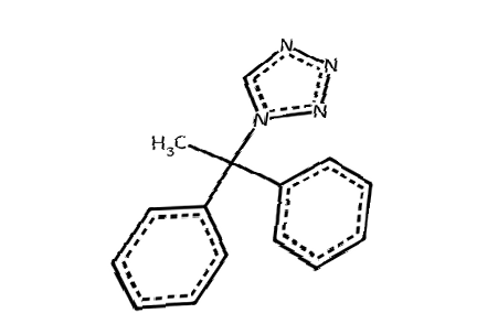 CC(c1ccccc1)(c1ccccc1)n1cnnn1